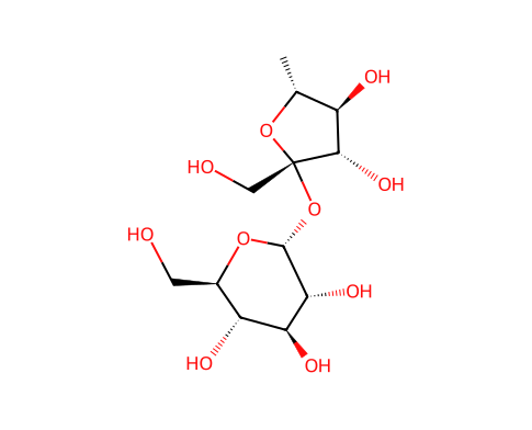 C[C@H]1O[C@@](CO)(O[C@H]2O[C@H](CO)[C@@H](O)[C@H](O)[C@H]2O)[C@@H](O)[C@@H]1O